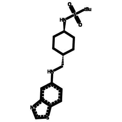 CC(C)(C)S(=O)(=O)N[C@H]1CC[C@H](CNc2ccc3scnc3c2)CC1